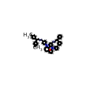 Cc1ccc(C(=C/C=C/c2ccc(N3c4cc(/C=C/C=C(c5ccccc5)c5ccccc5)cc(N(c5ccccc5)c5ccccc5)c4C4CCCCCC43)cc2)c2ccc(C)cc2)cc1